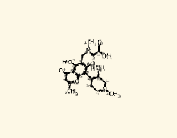 Cc1cc(=O)c2c(O)c(CN(C)CC(=O)O)c(O)c(C3CCN(C)CC3O)c2o1